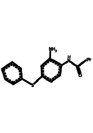 CC(C)C(=O)Nc1ccc(Sc2ccccc2)cc1N